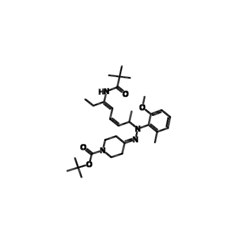 CC/C(=C\C=C/C(C)N(N=C1CCN(C(=O)OC(C)(C)C)CC1)c1c(C)cccc1OC)NC(=O)C(C)(C)C